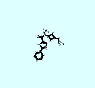 CN(C(=O)c1cnc(-c2ccccc2)s1)C1CC(CN)C1